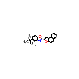 CC(C)(C)c1ccc2oc(-c3cc4c(ccc5ccccc54)o3)nc2c1